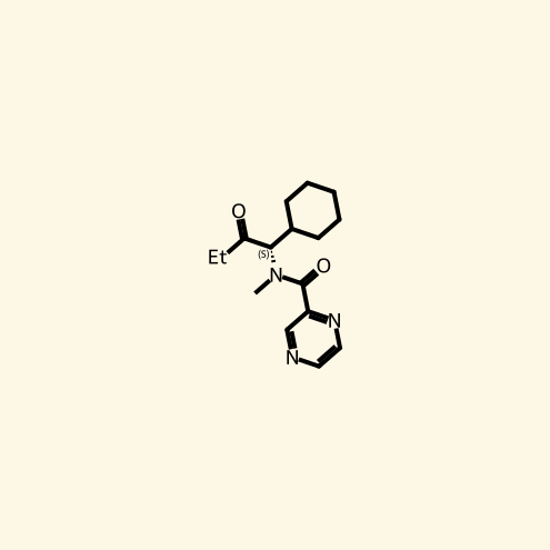 CCC(=O)[C@H](C1CCCCC1)N(C)C(=O)c1cnccn1